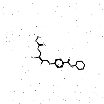 C/C(COC(=O)NC(C)(C)C)=C(\F)COc1ccc(C(=O)NC2CCCCC2)cc1